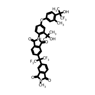 Cc1cc(Oc2ccc(N3C(=O)c4ccc(C(c5ccc6c(c5)C(=O)N(C)C6=O)(C(F)(F)F)C(F)(F)F)cc4C3=O)c(C(C)(O)C(F)(F)F)c2)ccc1C(C)(O)C(F)(F)F